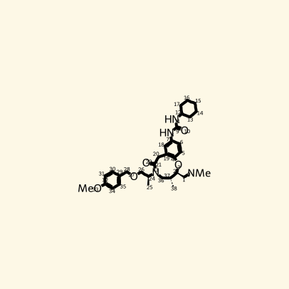 CNC[C@@H]1Oc2ccc(NC(=O)NC3CCCCC3)cc2CC(=O)N([C@@H](C)COCc2ccc(OC)cc2)C[C@H]1C